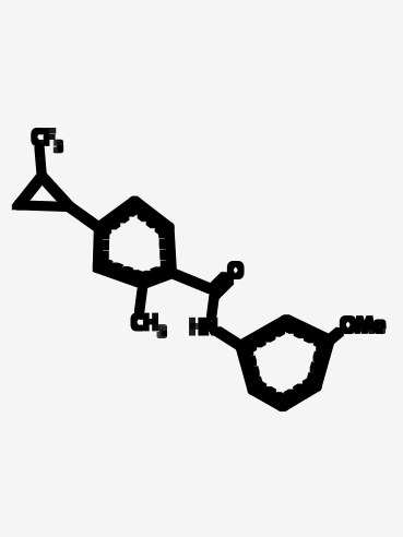 COc1cccc(NC(=O)c2ccc(C3CC3C(F)(F)F)cc2C)c1